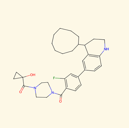 O=C(c1ccc(-c2ccc3c(c2)C(C2CCCCCCCC2)CCN3)cc1F)N1CCN(C(=O)C2(O)CC2)CC1